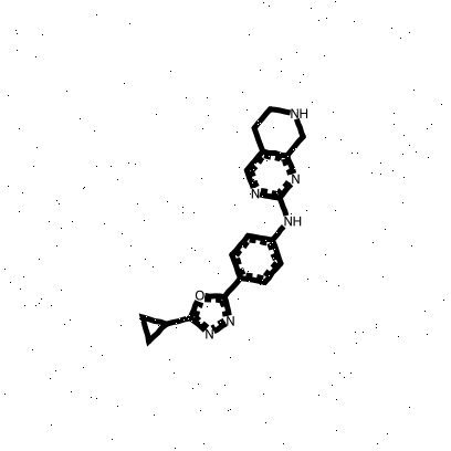 c1cc(-c2nnc(C3CC3)o2)ccc1Nc1ncc2c(n1)CNCC2